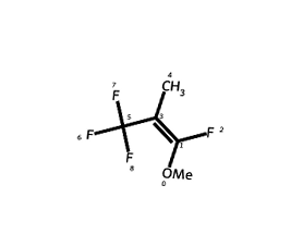 CO/C(F)=C(/C)C(F)(F)F